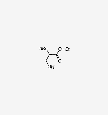 CCCCC(CO)C(=O)OCC